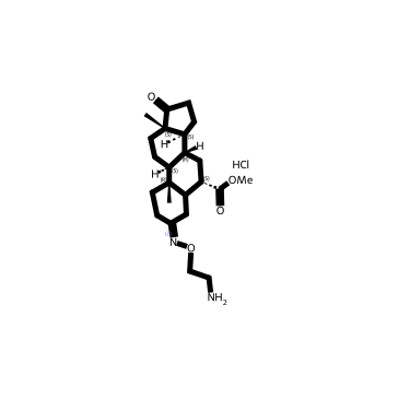 COC(=O)[C@H]1C[C@@H]2[C@H](CC[C@]3(C)C(=O)CC[C@@H]23)[C@@]2(C)CC/C(=N/OCCN)CC12.Cl